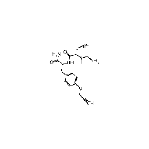 C#CCOc1ccc(C[C@H](NC(=O)[C@H](CC(C)C)NCN)C(N)=O)cc1